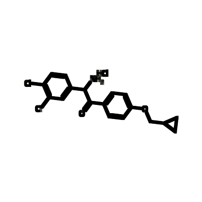 Cl.NC(C(=O)c1ccc(OCC2CC2)cc1)c1ccc(Cl)c(Cl)c1